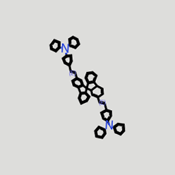 C1=CC2c3ccccc3C3(c4ccccc4-c4ccc(/C=C/c5ccc(N(c6ccccc6)c6ccccc6)cc5)cc43)C2C=C1/C=C/c1ccc(N(c2ccccc2)c2ccccc2)cc1